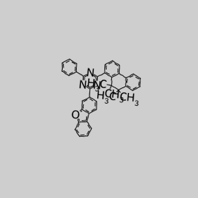 CC1(C)c2ccccc2-c2cccc(-c3nc(-c4ccccc4)nc(-c4ccc5c(c4)oc4ccccc45)n3)c2C1(C)C